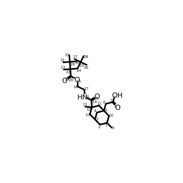 CC1CC2CC(CC(=O)O)(C1)CC(C)(C(=O)NCCOC(=O)C(C)(CC(C)(C)C)C(C)(C)C)C2